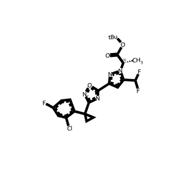 C[C@@H](C(=O)OC(C)(C)C)n1nc(-c2nc(C3(c4ccc(F)cc4Cl)CC3)no2)cc1C(F)F